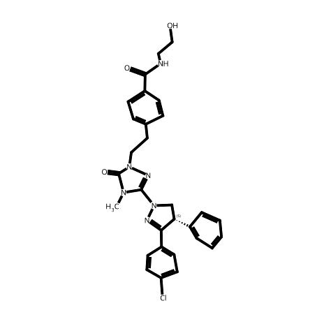 Cn1c(N2C[C@H](c3ccccc3)C(c3ccc(Cl)cc3)=N2)nn(CCc2ccc(C(=O)NCCO)cc2)c1=O